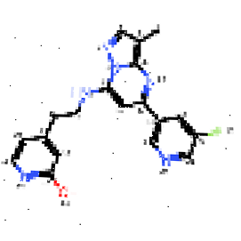 Cc1cnn2c(NCCc3ccnc(O)c3)cc(-c3cncc(F)c3)nc12